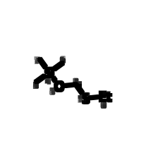 CCS[C]O[Si](C)(C)C